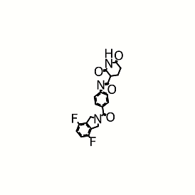 O=C1CCC(c2nc3ccc(C(=O)N4Cc5c(F)ccc(F)c5C4)cc3o2)C(=O)N1